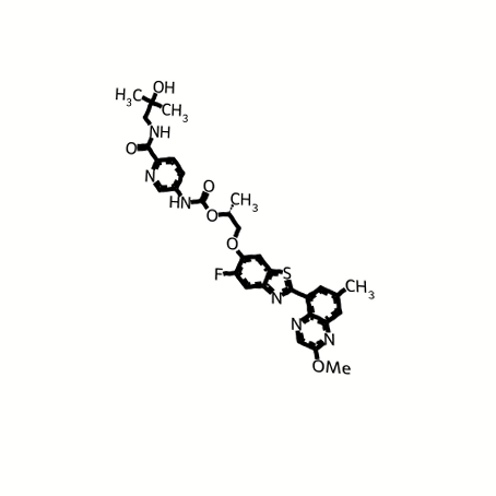 COc1cnc2c(-c3nc4cc(F)c(OC[C@@H](C)OC(=O)Nc5ccc(C(=O)NCC(C)(C)O)nc5)cc4s3)cc(C)cc2n1